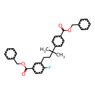 CC(C)(CCc1cc(C(=O)OCc2ccccc2)ccc1F)c1ccc(C(=O)OCc2ccccc2)cc1